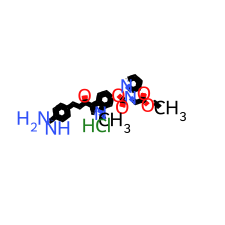 CCOC(=O)CN(C(=O)Oc1ccc2c(C(=O)CCc3ccc(C(=N)N)cc3)cn(C)c2c1)c1ccccn1.Cl